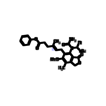 CCCCC(CC)N(C(N)=O)c1c(C/C=C(\C)CCC(=O)Oc2ccccc2)c(OC)c(C)c2c1C(=O)OC2